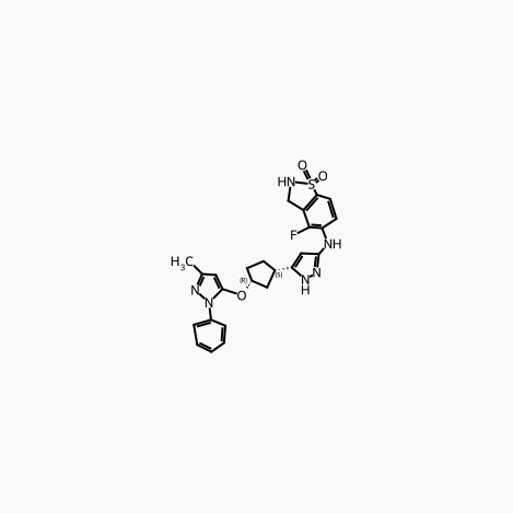 Cc1cc(O[C@@H]2CC[C@H](c3cc(Nc4ccc5c(c4F)CNS5(=O)=O)n[nH]3)C2)n(-c2ccccc2)n1